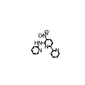 O=[N+]([O-])c1ccc(-c2ccccn2)nc1Nc1ccccn1